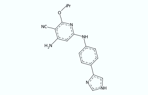 CC(C)Oc1nc(Nc2ccc(-c3c[nH]cn3)cc2)cc(N)c1C#N